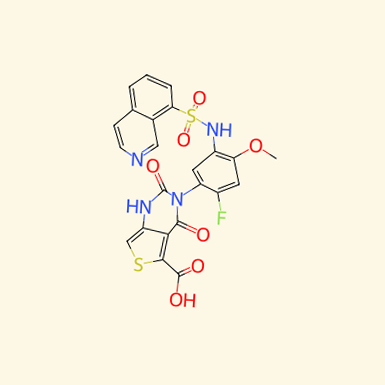 COc1cc(F)c(-n2c(=O)[nH]c3csc(C(=O)O)c3c2=O)cc1NS(=O)(=O)c1cccc2ccncc12